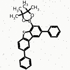 CC1(C)OB(c2cc(-c3ccccc3)cc3c2sc2ccc(-c4ccccc4)cc23)OC1(C)C